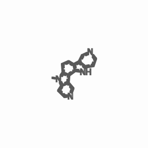 Cn1c2ccncc2c2c3[nH]c4ccncc4c3ccc21